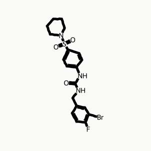 O=C(NCc1ccc(F)c(Br)c1)Nc1ccc(S(=O)(=O)N2CCCCC2)cc1